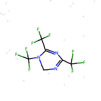 FC(F)(F)C1=NCN(C(F)(F)F)C(C(F)(F)F)=N1